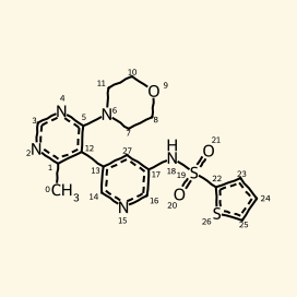 Cc1ncnc(N2CCOCC2)c1-c1cncc(NS(=O)(=O)c2cccs2)c1